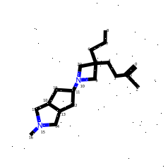 C=C(C)CCC1(CCC)CN(C2CC3CN(C)CC3C2)C1